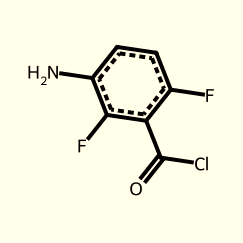 Nc1ccc(F)c(C(=O)Cl)c1F